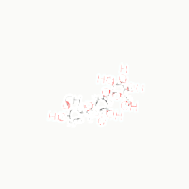 COc1cc([C@@H]2CC(=O)c3c(O)cc(O[C@@H]4O[C@H](CO)[C@@H](O)[C@H](O)[C@H]4O)cc3O2)ccc1O